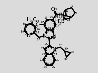 B[C@]1(N)C2CCC1N(C(=O)c1cc(OC)c3c(c1)nc(-c1cc4ccccc4n1CC1CC1)n3Cc1ccccn1)C2